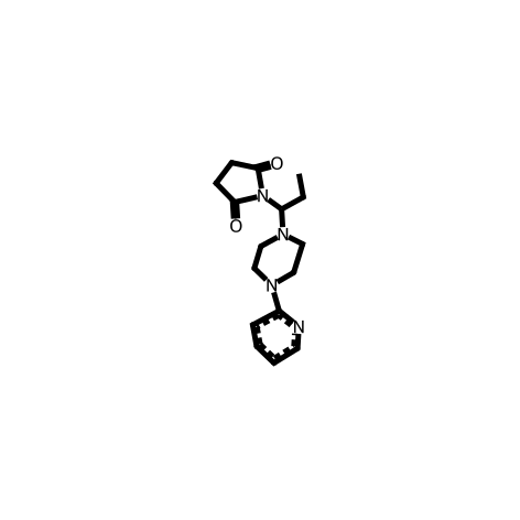 CCC(N1CCN(c2ccccn2)CC1)N1C(=O)CCC1=O